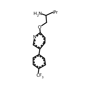 CC(C)C(N)COc1ccc(-c2ccc(C(F)(F)F)cc2)cn1